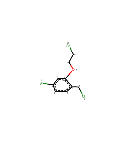 ClCc1ccc(Br)cc1OCCBr